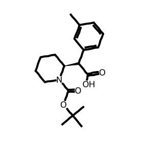 Cc1cccc(C(C(=O)O)[C@@H]2CCCCN2C(=O)OC(C)(C)C)c1